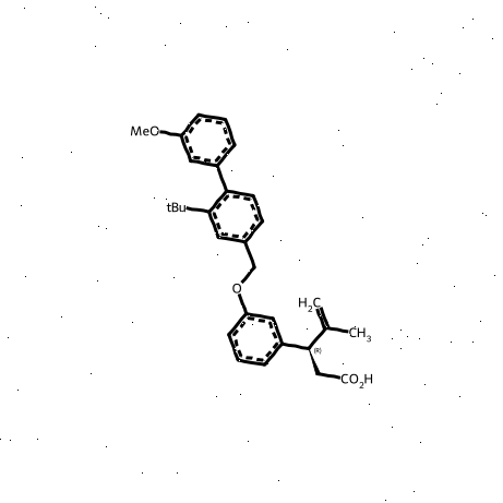 C=C(C)[C@@H](CC(=O)O)c1cccc(OCc2ccc(-c3cccc(OC)c3)c(C(C)(C)C)c2)c1